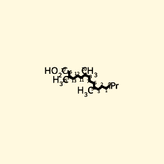 CC(C)CCC[C@@H](C)CCC[C@@H](C)CCC[C@H](C)CC(=O)O